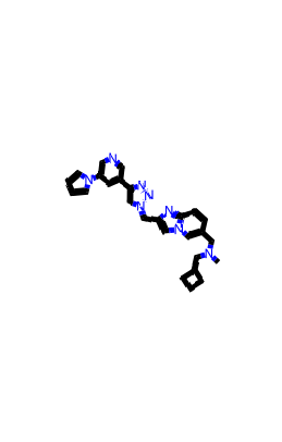 CN(Cc1ccc2nc(Cn3cc(-c4cncc(-n5cccc5)c4)nn3)cn2c1)CC1CCC1